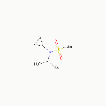 C[C@H](N(C1CC1)S(=O)(=O)C(C)(C)C)C(C)(C)C